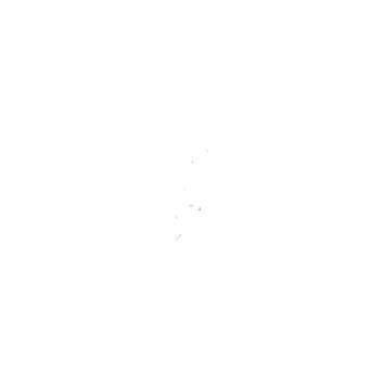 C/C=C/CC(=O)CCCCCC